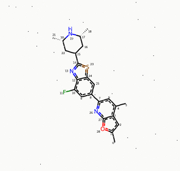 Cc1cc2c(C)cc(-c3cc(F)c4nc(C5C[C@@H](C)N[C@@H](C)C5)sc4c3)nc2o1